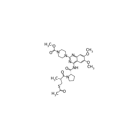 COC(=O)N1CCN(c2nc(NC(=O)[C@@H]3CCCN3C(=O)C(C)CSC(C)=O)c3cc(OC)c(OC)cc3n2)CC1